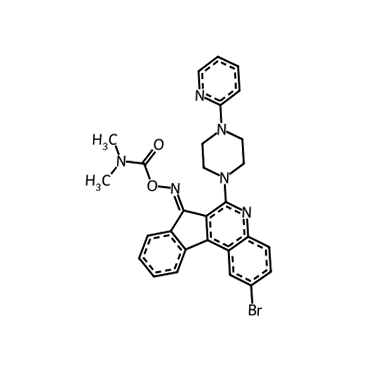 CN(C)C(=O)ON=C1c2ccccc2-c2c1c(N1CCN(c3ccccn3)CC1)nc1ccc(Br)cc21